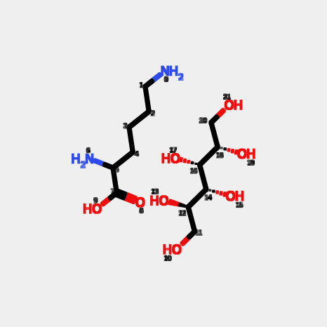 NCCCCC(N)C(=O)O.OC[C@@H](O)[C@@H](O)[C@H](O)[C@@H](O)CO